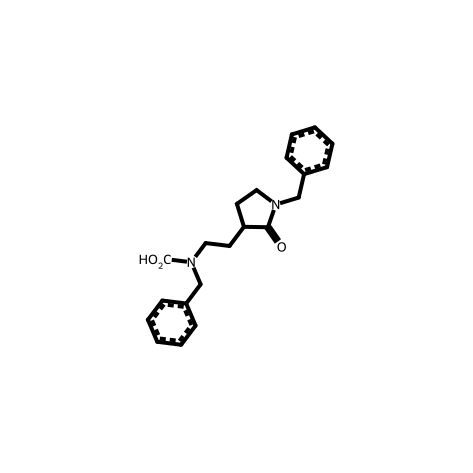 O=C(O)N(CCC1CCN(Cc2ccccc2)C1=O)Cc1ccccc1